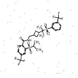 CC(C)S(=O)(=O)c1cc(C(F)(F)F)cnc1C(=O)NCC1CC(C(C)(C)S(=O)(=O)c2cccc(C(F)(F)F)c2)C1